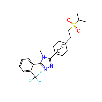 CC(C)S(=O)(=O)CCC12CCC(c3nnc(-c4ccccc4C(F)(F)F)n3C)(CC1)CC2